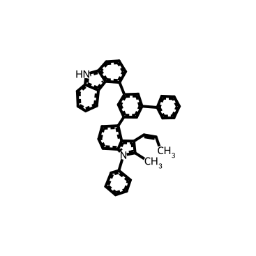 C/C=C\c1c(C)n(-c2ccccc2)c2cccc(-c3cc(-c4ccccc4)cc(-c4cccc5[nH]c6ccccc6c45)c3)c12